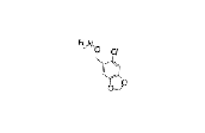 NOCc1cc2c(cc1Cl)OCO2